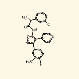 Cc1cc(-c2noc(NC(=O)C(C)c3cccc(Cl)c3)c2-c2ccncc2)ccc1F